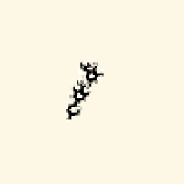 Cc1cc(C2CCC(C)CO2)cc(C)c1C(=O)Oc1cc(F)c(C)c(C(F)(F)F)c1